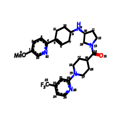 COc1ccc(C2=CCC(N[C@H]3CCN(C(=O)C4CCN(c5cc(C(F)(F)F)ccn5)CC4)C3)CC2)nc1